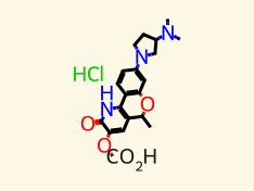 CC1Oc2cc(N3CCC(N(C)C)C3)ccc2-c2[nH]c(=O)c(OC(=O)O)cc21.Cl